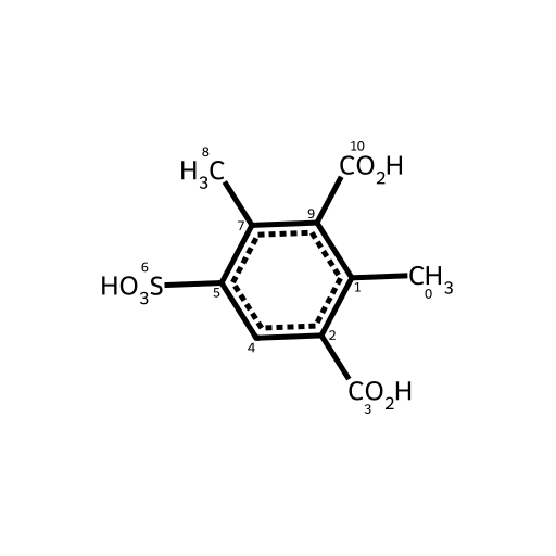 Cc1c(C(=O)O)cc(S(=O)(=O)O)c(C)c1C(=O)O